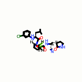 CC(C)C[C@H](Nc1cccc(Cl)c1)C(=O)N1[C@H]2CC[C@@H]([C@@H]1C(=O)N[C@@H](C#N)C[C@@H]1CCNC1=O)C(F)(F)C2